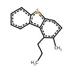 CCCc1c(C)ccc2sc3ccccc3c12